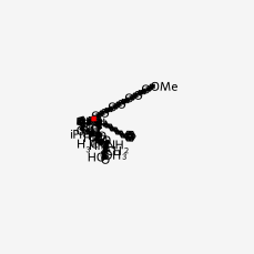 COCCOCCOCCOCCOCCOCCOCCOCCC(=O)N1CCCC1C(=O)N[C@@H](CC(C)C)C(=O)N[C@@H](Cc1cncn1CCCCCCCCc1ccccc1)C(=O)N[C@@H](C)C(=O)N[C@H](C(N)=O)[C@@H](C)CP(=O)(O)O